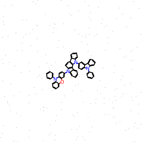 c1ccc(N2c3ccccc3Oc3cc(-n4c5ccccc5c5c4ccc4c6ccccc6n(-c6ccc7c(c6)c6ccccc6n7-c6ccccc6)c45)ccc32)cc1